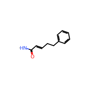 [NH]C(=O)/C=C/CCc1ccccc1